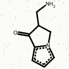 NCC1Cn2cccc2C1=O